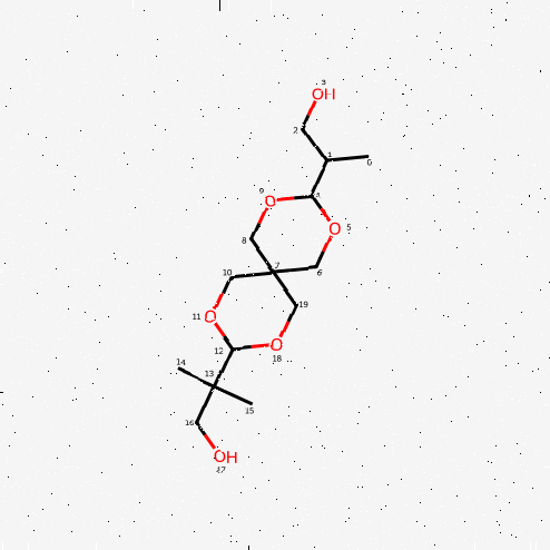 CC(CO)C1OCC2(CO1)COC(C(C)(C)CO)OC2